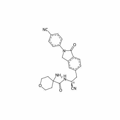 N#Cc1ccc(N2Cc3cc(C[C@@H](C#N)NC(=O)C4(N)CCOCC4)ccc3C2=O)cc1